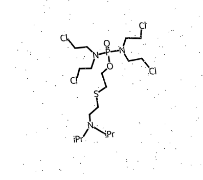 CC(C)N(CCSCCOP(=O)(N(CCCl)CCCl)N(CCCl)CCCl)C(C)C